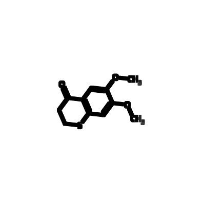 COc1cc2c(cc1OC)C(=O)CCS2